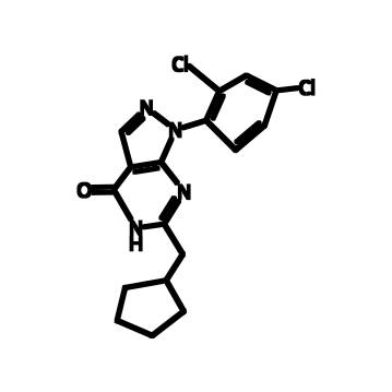 O=c1[nH]c(CC2CCCC2)nc2c1cnn2-c1ccc(Cl)cc1Cl